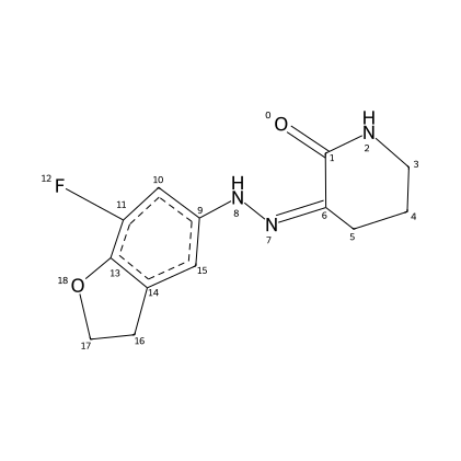 O=C1NCCCC1=NNc1cc(F)c2c(c1)CCO2